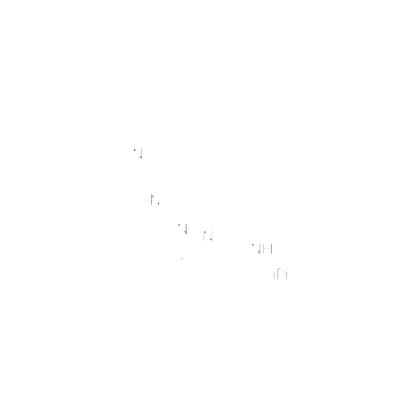 CC(C)CN[C@H]1CCN(C(=O)N2CCN(Cc3ccccn3)c3ccccc32)C1